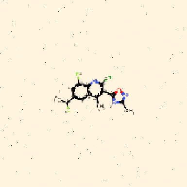 Cc1noc(-c2c(Cl)nc3c(F)cc([C@H](C)F)cc3c2C)n1